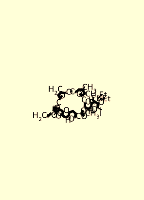 C=CCO[C@]12C[C@]34CCC5CC(=C)C(CCC6C[C@@H](C)C(=C)C(CC7O[C@H]8C[C@@H](O[Si](CC)(CC)CC)[C@@H](CI)O[C@H]8[C@H](C)C7OC(=O)CC7CCC8OC(C(O1)C(O3)[C@H]8O7)C2O4)O6)O5